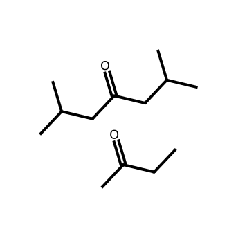 CC(C)CC(=O)CC(C)C.CCC(C)=O